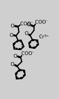 O=C([O-])C(=O)CC(=O)c1ccccc1.O=C([O-])C(=O)CC(=O)c1ccccc1.O=C([O-])C(=O)CC(=O)c1ccccc1.[Cr+3]